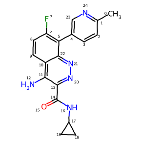 Cc1ccc(-c2c(F)ccc3c(N)c(C(=O)NC4CC4)nnc23)cn1